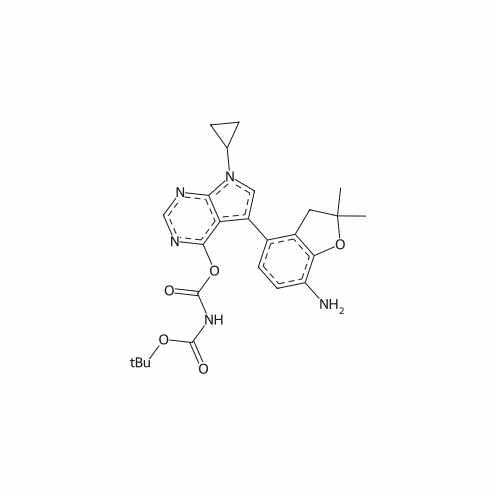 CC(C)(C)OC(=O)NC(=O)Oc1ncnc2c1c(-c1ccc(N)c3c1CC(C)(C)O3)cn2C1CC1